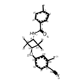 Cc1ccc(C(=O)N[C@H]2C(C)(C)[C@H](Oc3ccc(C#N)c(F)c3)C2(C)C)cc1